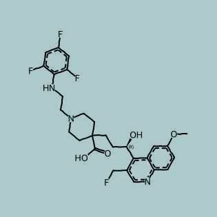 COc1ccc2ncc(CF)c([C@H](O)CCC3(C(=O)O)CCN(CCNc4c(F)cc(F)cc4F)CC3)c2c1